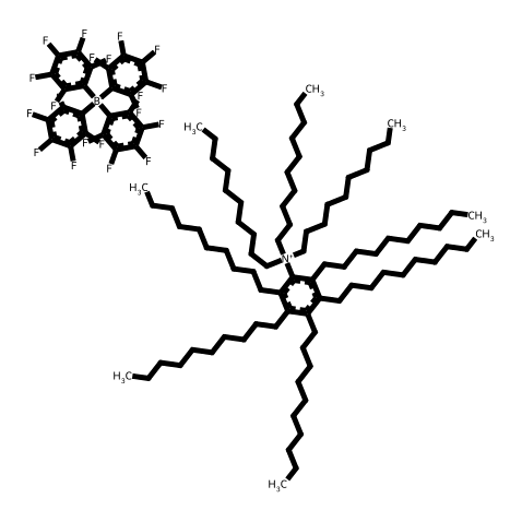 CCCCCCCCCCc1c(CCCCCCCCCC)c(CCCCCCCCCC)c([N+](CCCCCCCCCC)(CCCCCCCCCC)CCCCCCCCCC)c(CCCCCCCCCC)c1CCCCCCCCCC.Fc1c(F)c(F)c([B-](c2c(F)c(F)c(F)c(F)c2F)(c2c(F)c(F)c(F)c(F)c2F)c2c(F)c(F)c(F)c(F)c2F)c(F)c1F